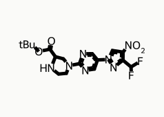 CC(C)(C)OC(=O)C1CN(c2ncc(-n3cc([N+](=O)[O-])c(C(F)F)n3)cn2)CCN1